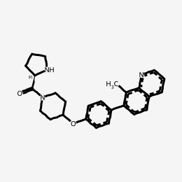 Cc1c(-c2ccc(OC3CCN(C(=O)[C@H]4CCCN4)CC3)cc2)ccc2cccnc12